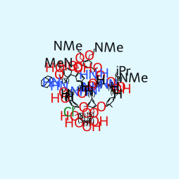 CNCCOc1cc(C(=O)NC(=O)C[C@@H]2NC(=O)[C@H](NC(=O)[C@@H](CC(C)C)NC)[C@H](O)c3ccc(c(C)c3)Oc3cc4cc(c3O[C@@H]3O[C@H](CO)[C@@H](O)[C@H](O)[C@H]3O)Oc3ccc(cc3Cl)[C@@H](O)[C@@H]3NC(=O)[C@H](NC(=O)[C@@H]4NC2=O)c2ccc4c(c2)-c2c(cc(O)cc2C4(O)O)[C@@H](C(=O)NC2C4CC5CC(C4)CC2C5)NC3=O)cc(OCCNC)c1OCCNC